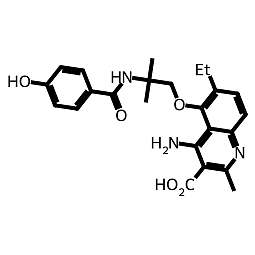 CCc1ccc2nc(C)c(C(=O)O)c(N)c2c1OCC(C)(C)NC(=O)c1ccc(O)cc1